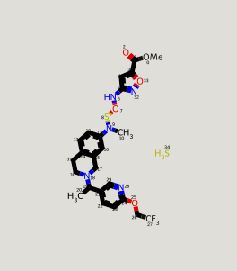 COC(=O)c1cc(NOSN(C)c2ccc3c(c2)CN(C(C)c2ccc(OCC(F)(F)F)nc2)CC3)no1.S